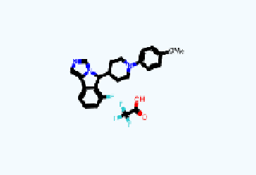 COc1ccc(N2CCC(C3c4c(F)cccc4-c4cncn43)CC2)cc1.O=C(O)C(F)(F)F